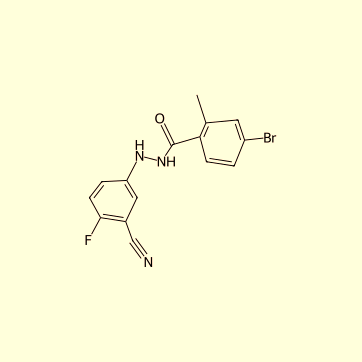 Cc1cc(Br)ccc1C(=O)NNc1ccc(F)c(C#N)c1